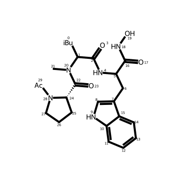 CCC(C)C(C(=O)NC(Cc1c[nH]c2ccccc12)C(=O)NO)N(C)C(=O)[C@@H]1CCCN1C(C)=O